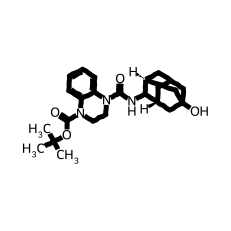 CC(C)(C)OC(=O)N1CCN(C(=O)NC2[C@@H]3CC4C[C@H]2CC(O)(C4)C3)c2ccccc21